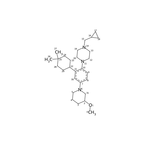 COC1CCCN(c2ccc(N3CCN(CC4CC4)CC3)c(C3CCC(C)(C)CC3)c2)C1